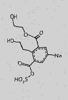 O=C(OCCO)c1c[c]([Na])cc(C(=O)OS(=O)(=O)O)c1CCO